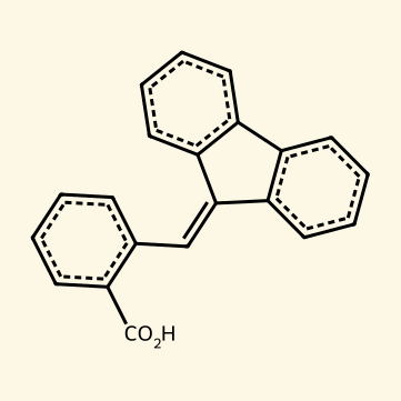 O=C(O)c1ccccc1C=C1c2ccccc2-c2ccccc21